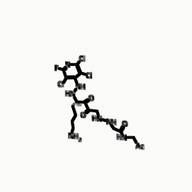 CC(=O)CNC(=O)CNNCC(=O)C(=O)[C@H](CCCCN)NNc1c(Cl)c(F)nc(Cl)c1Cl